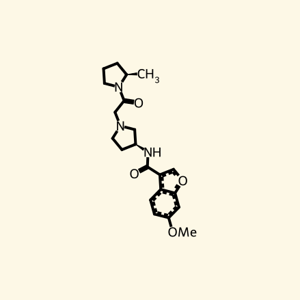 COc1ccc2c(C(=O)N[C@H]3CCN(CC(=O)N4CCC[C@H]4C)C3)coc2c1